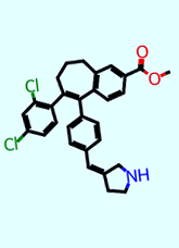 COC(=O)c1ccc2c(c1)CCCC(c1ccc(Cl)cc1Cl)=C2c1ccc(C=C2CCNC2)cc1